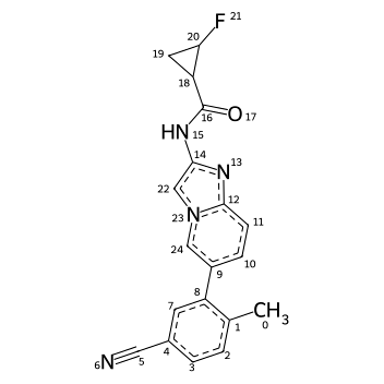 Cc1ccc(C#N)cc1-c1ccc2nc(NC(=O)C3CC3F)cn2c1